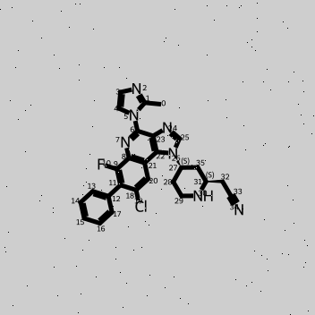 Cc1nccn1-c1nc2c(F)c(-c3ccccc3)c(Cl)cc2c2c1ncn2[C@H]1CCN[C@H](CC#N)C1